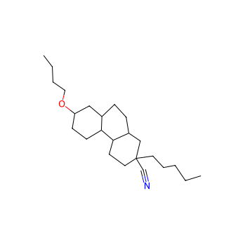 CCCCCC1(C#N)CCC2C(CCC3CC(OCCCC)CCC32)C1